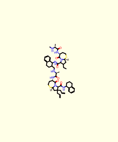 C=CCC1(CC=C)C[C@@H]2SCC[C@H](NC(=O)[C@H](C)NCC3CCc4ccccc4C3NC(=O)C3C(CC)C[C@@H]4SCC[C@H](NC(=O)[C@H](C)NC)C(=O)N34)C(=O)N2C1C(=O)NC1CCCc2ccccc21